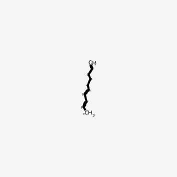 [CH]=CCCCC=CC=CC